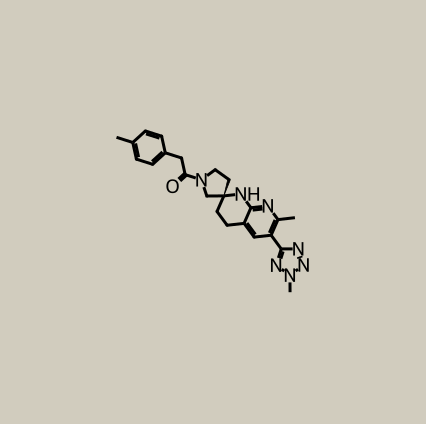 Cc1ccc(CC(=O)N2CC[C@@]3(CCc4cc(-c5nnn(C)n5)c(C)nc4N3)C2)cc1